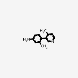 Cc1cc(N)ccc1-c1cnccc1C